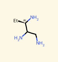 CC[C@@H](N)C(N)CN